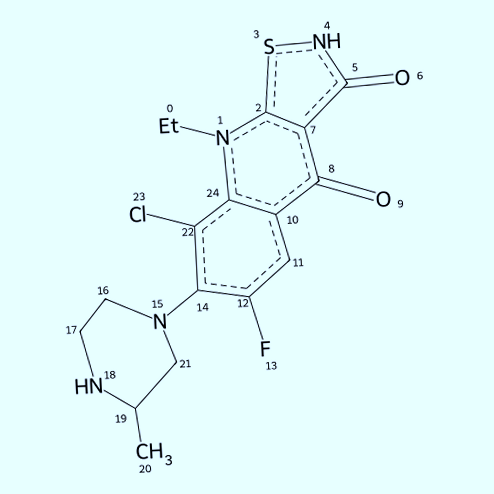 CCn1c2s[nH]c(=O)c2c(=O)c2cc(F)c(N3CCNC(C)C3)c(Cl)c21